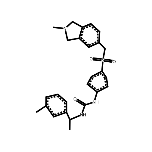 Cc1cccc(C(C)NC(=O)Nc2ccc(S(=O)(=O)Cc3ccc4c(c3)CN(C)C4)cc2)c1